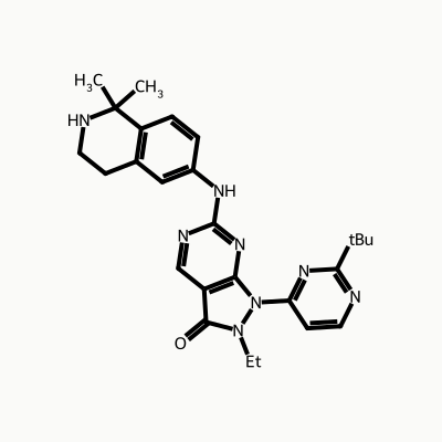 CCn1c(=O)c2cnc(Nc3ccc4c(c3)CCNC4(C)C)nc2n1-c1ccnc(C(C)(C)C)n1